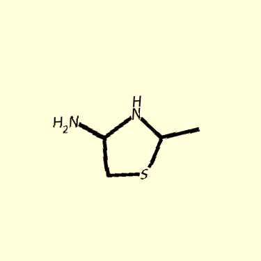 CC1NC(N)CS1